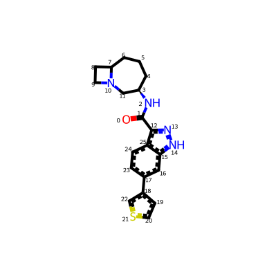 O=C(N[C@@H]1CCCC2CCN2C1)c1n[nH]c2cc(-c3ccsc3)ccc12